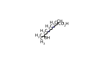 C=C(C)C(O)CC/C(C)=C/CC/C(C)=C/CCC(C)(C)C(=O)O